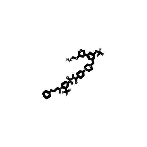 CCOc1cncc(-c2cc(CN3CCN(c4ccc(C(=O)NS(=O)(=O)c5ccc(NCCSc6ccccc6)c(C(F)(F)F)c5)cc4)CC3)cc(OC(F)(F)F)c2)c1